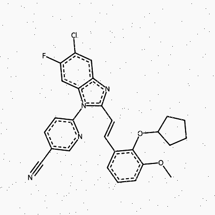 COc1cccc(C=Cc2nc3cc(Cl)c(F)cc3n2-c2ccc(C#N)cn2)c1OC1CCCC1